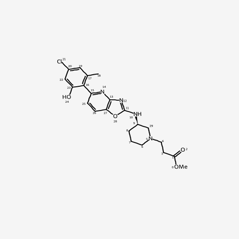 COC(=O)CCN1CCC[C@@H](Nc2nc3nc(-c4c(C)cc(Cl)cc4O)ccc3o2)C1